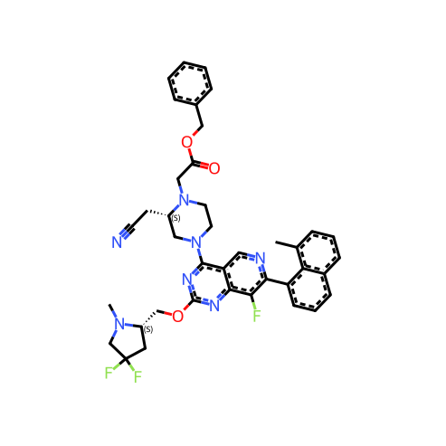 Cc1cccc2cccc(-c3ncc4c(N5CCN(CC(=O)OCc6ccccc6)[C@@H](CC#N)C5)nc(OC[C@@H]5CC(F)(F)CN5C)nc4c3F)c12